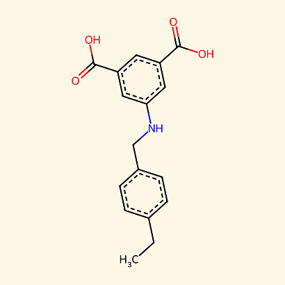 CCc1ccc(CNc2cc(C(=O)O)cc(C(=O)O)c2)cc1